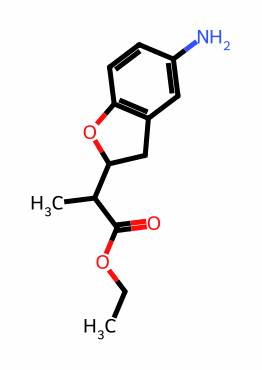 CCOC(=O)C(C)C1Cc2cc(N)ccc2O1